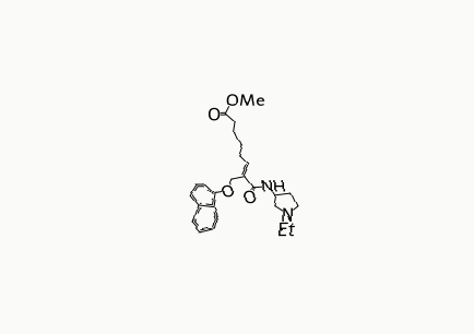 CCN1CCC(NC(=O)/C(=C/CCCCC(=O)OC)COc2cccc3ccccc23)C1